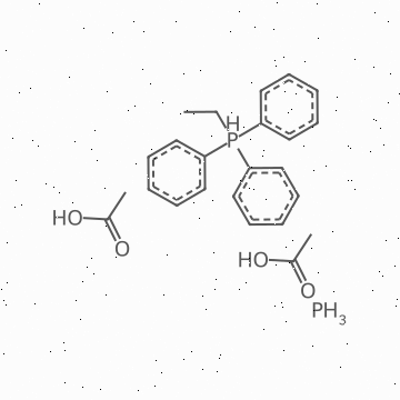 CC(=O)O.CC(=O)O.CC[PH](c1ccccc1)(c1ccccc1)c1ccccc1.P